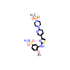 CC(C)Oc1ccc(S(N)(=O)=O)cc1Nc1nc(C2=CCC(N3CCN(S(C)(=O)=O)CC3)N=C2)cs1